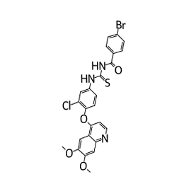 COc1cc2nccc(Oc3ccc(NC(=S)NC(=O)c4ccc(Br)cc4)cc3Cl)c2cc1OC